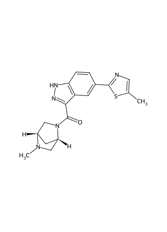 Cc1cnc(-c2ccc3[nH]nc(C(=O)N4C[C@@H]5C[C@H]4CN5C)c3c2)s1